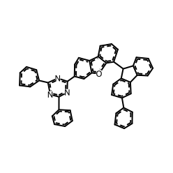 c1ccc(-c2ccc3c(c2)-c2ccccc2C3c2cccc3c2oc2cc(-c4nc(-c5ccccc5)nc(-c5ccccc5)n4)ccc23)cc1